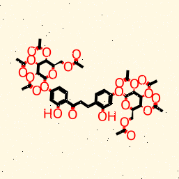 CC(=O)OC[C@H]1OC(Oc2ccc(CCC(=O)c3ccc(OC4O[C@H](COC(C)=O)[C@@H](OC(C)=O)[C@H](OC(C)=O)[C@H]4OC(C)=O)cc3O)c(O)c2)[C@H](OC(C)=O)[C@@H](OC(C)=O)[C@@H]1OC(C)=O